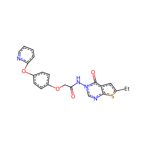 CCc1cc2c(=O)n(NC(=O)COc3ccc(Oc4ccccn4)cc3)cnc2s1